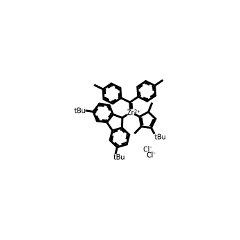 CC1=[C]([Zr+2](=[C](c2ccc(C)cc2)c2ccc(C)cc2)[CH]2c3ccc(C(C)(C)C)cc3-c3cc(C(C)(C)C)ccc32)C(C)C=C1C(C)(C)C.[Cl-].[Cl-]